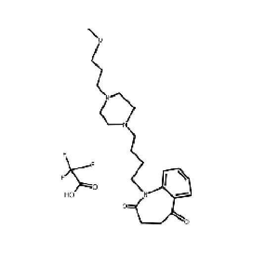 COCCCN1CCN(CCCCN2C(=O)CCC(=O)c3ccccc32)CC1.O=C(O)C(F)(F)F